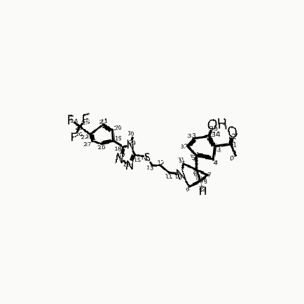 CC(=O)c1cc(C23C[C@H]2CN(CCCSc2nnc(-c4ccc(C(F)(F)F)cc4)n2C)C3)ccc1O